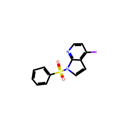 O=S(=O)(c1ccccc1)n1ccc2c(I)ccnc21